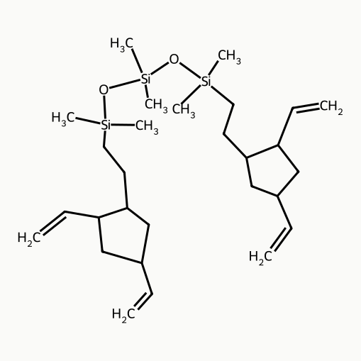 C=CC1CC(C=C)C(CC[Si](C)(C)O[Si](C)(C)O[Si](C)(C)CCC2CC(C=C)CC2C=C)C1